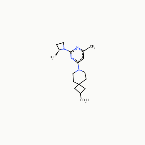 C[C@H]1CCN1c1nc(N2CCC3(CC2)CC(C(=O)O)C3)cc(C(F)(F)F)n1